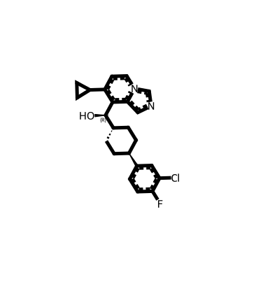 O[C@@H](c1c(C2CC2)ccn2cncc12)[C@H]1CC[C@H](c2ccc(F)c(Cl)c2)CC1